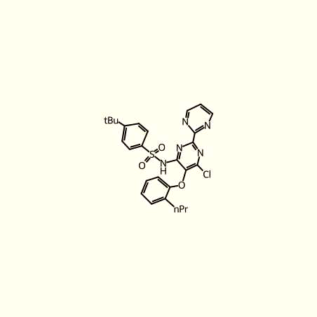 CCCc1ccccc1Oc1c(Cl)nc(-c2ncccn2)nc1NS(=O)(=O)c1ccc(C(C)(C)C)cc1